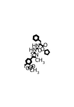 Cc1nc(NC(=O)N[C@@H](Cc2ccccc2)C(=O)OC2CCCC2)sc1-c1ccc(I)c(S(C)(=O)=O)c1